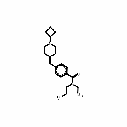 CCCN(CC)C(=O)c1ccc(C=C2CCN(C3CCC3)CC2)cc1